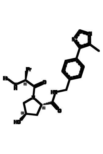 CCN[C@H](C(=O)N1C[C@H](O)C[C@H]1C(=O)NCc1ccc(-c2scnc2C)cc1)C(C)C